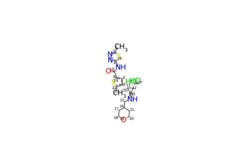 Cc1nnc(NC(=O)c2cc([C@@H]3C[C@H]3NCC3CCOCC3)c(C)s2)s1.Cl.Cl